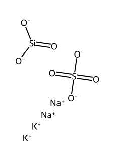 O=S(=O)([O-])[O-].O=[Si]([O-])[O-].[K+].[K+].[Na+].[Na+]